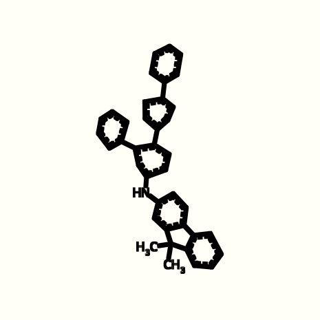 CC1(C)c2ccccc2-c2ccc(Nc3ccc(-c4ccc(-c5ccccc5)cc4)c(-c4ccccc4)c3)cc21